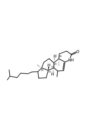 CC(C)CCCCC1CC[C@H]2[C@@H]3C(C)C=C4NC(=O)CC[C@]4(C)[C@@H]3CC[C@]12C